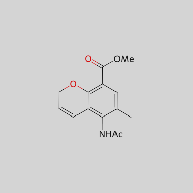 COC(=O)c1cc(C)c(NC(C)=O)c2c1OCC=C2